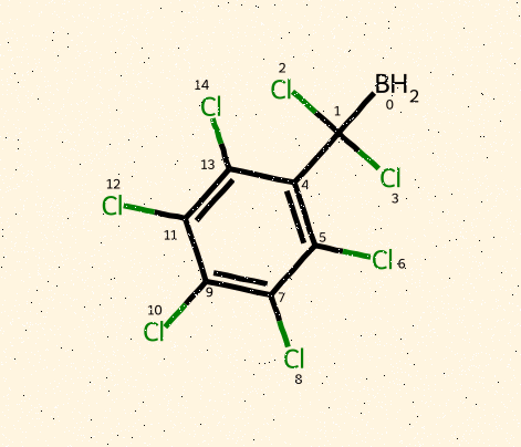 BC(Cl)(Cl)c1c(Cl)c(Cl)c(Cl)c(Cl)c1Cl